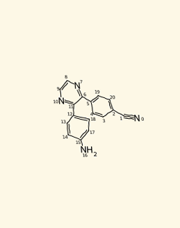 N#Cc1ccc(-c2nccnc2-c2ccc(N)cc2)cc1